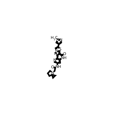 Cn1cc(-c2cn3nc4c5ncc(NC(=O)CN6CCCC67CC7)cc5[nH]c(=O)c4c3s2)cn1